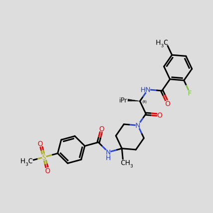 Cc1ccc(F)c(C(=O)N[C@@H](C(=O)N2CCC(C)(NC(=O)c3ccc(S(C)(=O)=O)cc3)CC2)C(C)C)c1